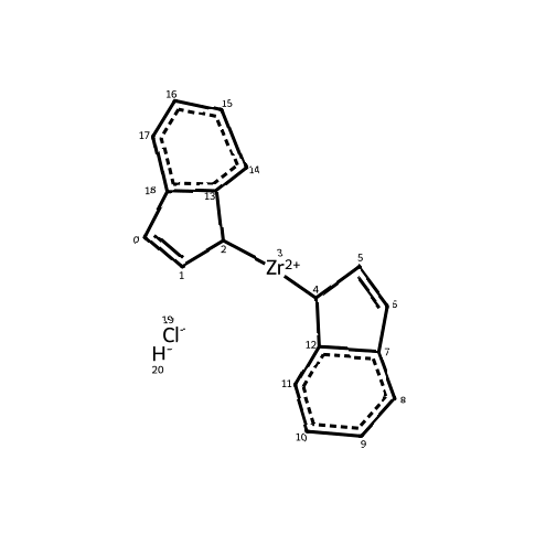 C1=C[CH]([Zr+2][CH]2C=Cc3ccccc32)c2ccccc21.[Cl-].[H-]